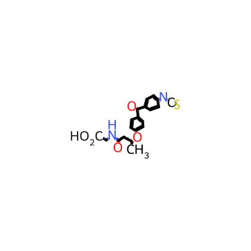 CC(CC(=O)NCC(=O)O)Oc1ccc(C(=O)c2ccc(N=C=S)cc2)cc1